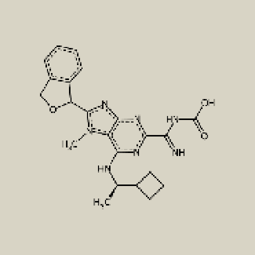 C[C@@H](Nc1nc(C(=N)NC(=O)O)nc2nc(C3OCc4ccccc43)n(C)c12)C1CCC1